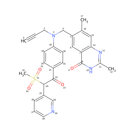 C#CCN(Cc1cc2c(=O)[nH]c(C)nc2cc1C)c1ccc(C(=O)C(c2cccnc2)S(C)(=O)=O)cc1